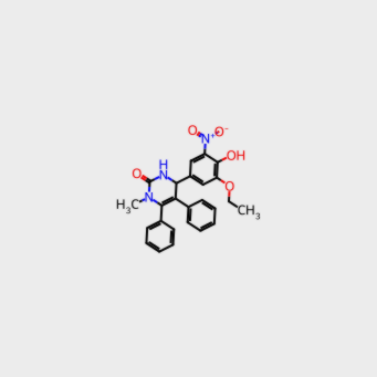 CCOc1cc(C2NC(=O)N(C)C(c3ccccc3)=C2c2ccccc2)cc([N+](=O)[O-])c1O